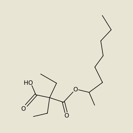 CCCCCCC(C)OC(=O)C(CC)(CC)C(=O)O